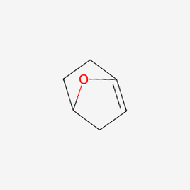 C1=C2CCC(C1)O2